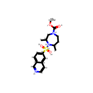 CC1CCN(C(=O)OC(C)(C)C)CC(C)N1S(=O)(=O)c1ccc2cnccc2c1